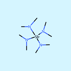 C[N](C)[Sb]([N](C)C)([N](C)C)[N](C)C